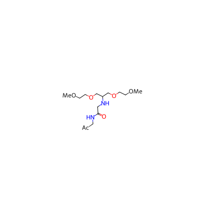 COCCOCC(COCCOC)NCC(=O)NCC(C)=O